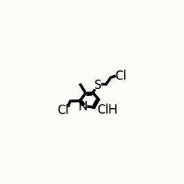 Cc1c(SCCCl)ccnc1CCl.Cl